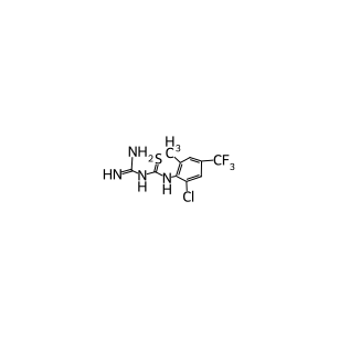 Cc1cc(C(F)(F)F)cc(Cl)c1NC(=S)NC(=N)N